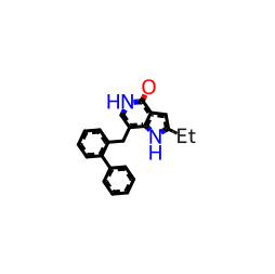 CCc1cc2c(=O)[nH]cc(Cc3ccccc3-c3ccccc3)c2[nH]1